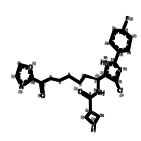 O=C(CCCCC[C@H](NC(=O)C1CNC1)c1[nH]c(-c2ccc(F)cc2)nc1Cl)c1ncco1